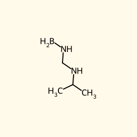 BNCNC(C)C